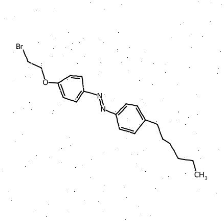 CCCCCCc1ccc(N=Nc2ccc(OCCBr)cc2)cc1